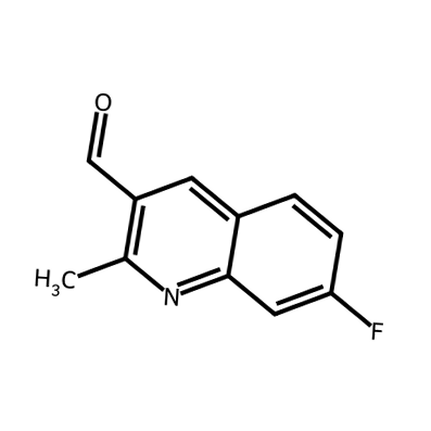 Cc1nc2cc(F)ccc2cc1C=O